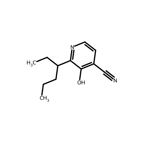 CCCC(CC)c1nccc(C#N)c1O